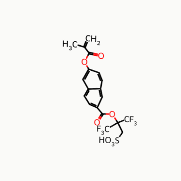 C=C(C)C(=O)Oc1ccc2cc(C(=O)OC(CS(=O)(=O)O)(C(F)(F)F)C(F)(F)F)ccc2c1